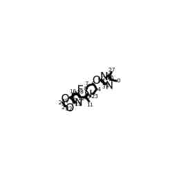 Cc1ncc(OC2CCN(C(C)c3nc4c(cc3F)OCCO4)CC2)nc1C